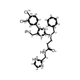 CC(C)Cc1sc(N(CCC(=O)NCc2ncc[nH]2)Cc2ccccc2)nc1-c1ccc(Cl)c(Cl)c1